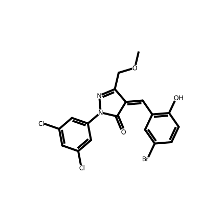 COCC1=NN(c2cc(Cl)cc(Cl)c2)C(=O)C1=Cc1cc(Br)ccc1O